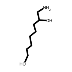 NCC(O)CCCCCCO